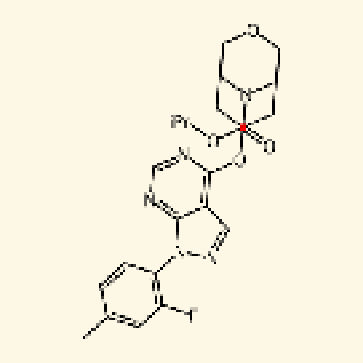 Cc1ccc(-n2ncc3c(OC4CC5COCC(C4)N5C(=O)OC(C)C)ncnc32)c(F)c1